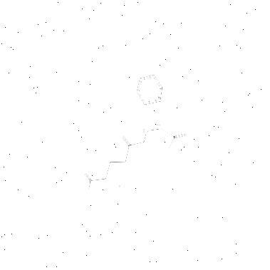 O=C(CC[C@H](O)C(=O)O)CN[C@H](Cc1ccccc1)C(=O)O